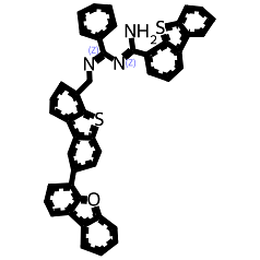 N/C(=N\C(=N/Cc1cccc2c1sc1ccc(-c3cccc4c3oc3ccccc34)cc12)c1ccccc1)c1cccc2c1sc1ccccc12